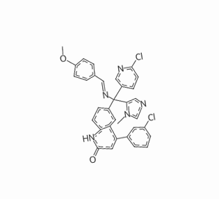 COc1ccc(C=NC(c2ccc(Cl)nc2)(c2ccc3[nH]c(=O)cc(-c4cccc(Cl)c4)c3c2)c2cncn2C)cc1